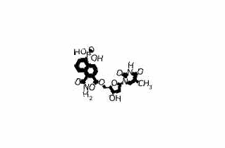 Cc1cn([C@H]2C[C@H](O)[C@@H](COC(=O)c3ccc4c(P(=O)(O)O)cccc4c3C(N)=O)O2)c(=O)[nH]c1=O